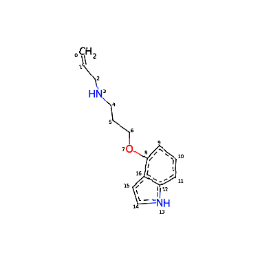 C=CCNCCCOc1cccc2[nH]ccc12